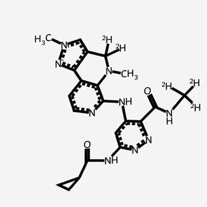 [2H]C([2H])([2H])NC(=O)c1nnc(NC(=O)C2CC2)cc1Nc1nccc2c1N(C)C([2H])([2H])c1cn(C)nc1-2